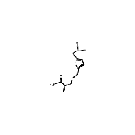 CC(CSCc1ccc(CN(C)C)o1)C(N)=O